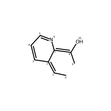 C/C=c1/cccn/c1=C(/C)O